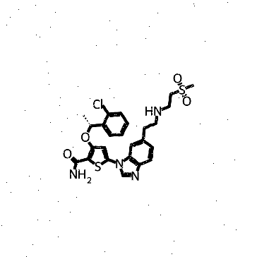 C[C@@H](Oc1cc(-n2cnc3ccc(CCNCCS(C)(=O)=O)cc32)sc1C(N)=O)c1ccccc1Cl